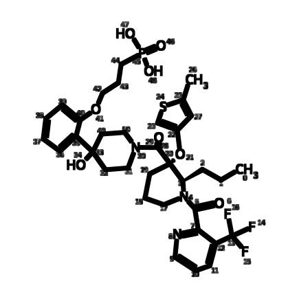 CCC[C@H]1N(C(=O)c2ncccc2C(F)(F)F)CCC[C@@]1(Oc1csc(C)c1)C(=O)N1CCC(O)(c2ccccc2OCCCP(=O)(O)O)CC1